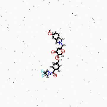 COc1ccc2c(c1)CN(Cc1cc(=O)c(OCc3ccc(C(=O)N4CC(F)(F)C4)cc3)co1)C2